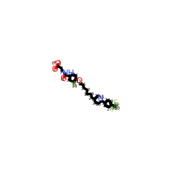 COC(=O)CCNC(=O)c1ccc(OCCCCCCCc2ccc(-c3ccc(C(F)(F)F)cc3)nc2)c(F)c1